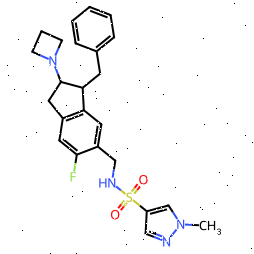 Cn1cc(S(=O)(=O)NCc2cc3c(cc2F)CC(N2CCC2)C3Cc2ccccc2)cn1